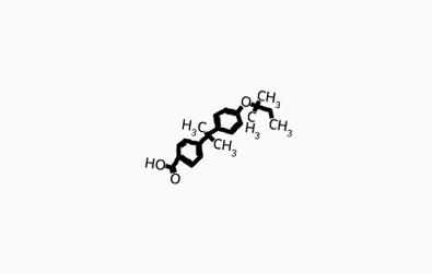 CCC(C)(C)Oc1ccc(C(C)(C)c2ccc(C(=O)O)cc2)cc1